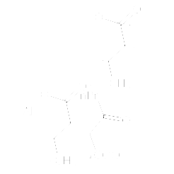 CCCC(=O)CC(=O)[O-].CCCC(=O)[O-].CCCC(=O)[O-].[Al+3]